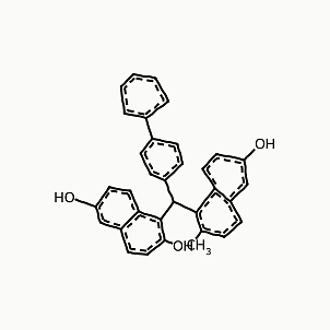 Cc1ccc2cc(O)ccc2c1C(c1ccc(-c2ccccc2)cc1)c1c(O)ccc2cc(O)ccc12